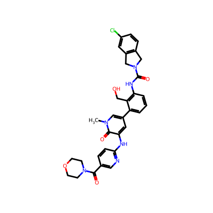 Cn1cc(-c2cccc(NC(=O)N3Cc4ccc(Cl)cc4C3)c2CO)cc(Nc2ccc(C(=O)N3CCOCC3)cn2)c1=O